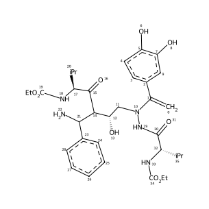 C=C(c1ccc(O)c(O)c1)N(C[C@H](O)C(C(=O)[C@@H](NC(=O)OCC)C(C)C)C(N)c1ccccc1)NC(=O)[C@@H](NC(=O)OCC)C(C)C